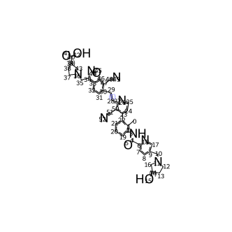 Cc1c(NC(=O)c2ccc(CN3CC[C@@H](O)C3)cn2)cccc1-c1ccnc(/C=C/c2ccc3c(CN4CC[C@@H](C(=O)O)C4)noc3c2C#N)c1C#N